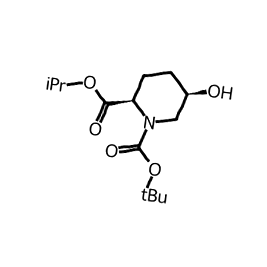 CC(C)OC(=O)[C@H]1CC[C@@H](O)CN1C(=O)OC(C)(C)C